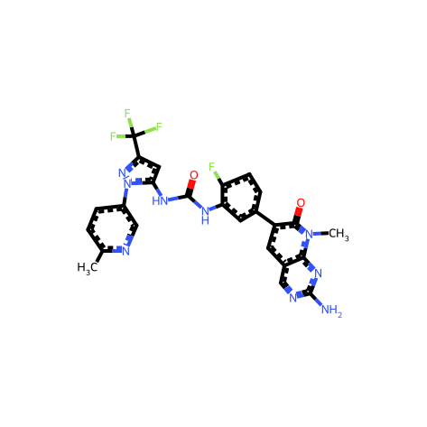 Cc1ccc(-n2nc(C(F)(F)F)cc2NC(=O)Nc2cc(-c3cc4cnc(N)nc4n(C)c3=O)ccc2F)cn1